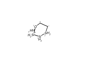 C1C[SiH2][SiH2][SiH2]O1.[HH]